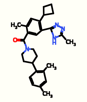 Cc1ccc(C2CCN(C(=O)c3cc(-c4nnc(C)[nH]4)c(C4CCC4)cc3C)CC2)c(C)c1